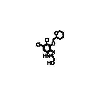 OCc1nc2c(OCC3CCCCO3)c(Cl)c(Cl)cc2[nH]1